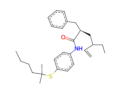 C=CC(CC)C[C@H](Cc1ccccc1)C(=O)Nc1ccc(SC(C)(C)CCCC)cc1